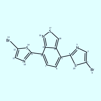 Brc1cnc(-c2ccc(-c3ncc(Br)s3)c3nscc23)s1